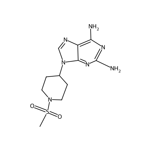 CS(=O)(=O)N1CCC(n2cnc3c(N)nc(N)nc32)CC1